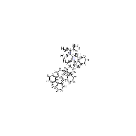 BC(=C)/C(B)=C(B)\C(B)=C(/B)n1c(-c2ccc(C34C=CC=CC3=C(c3cccc5sc6ccccc6c35)c3ccccc34)cc2)nc2ccccc21